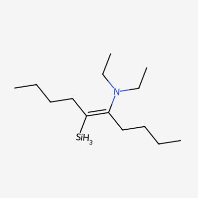 CCCCC([SiH3])=C(CCCC)N(CC)CC